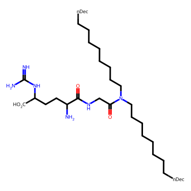 CCCCCCCCCCCCCCCCCCN(CCCCCCCCCCCCCCCCCC)C(=O)CNC(=O)C(N)CCC(NC(=N)N)C(=O)O